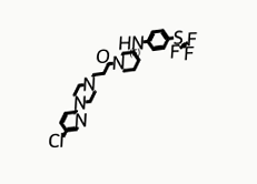 O=C(CCN1CCN(c2ccc(Cl)cn2)CC1)N1CCC[C@H](Nc2ccc(SC(F)(F)F)cc2)C1